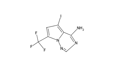 Nc1ncnn2c(C(F)(F)F)cc(I)c12